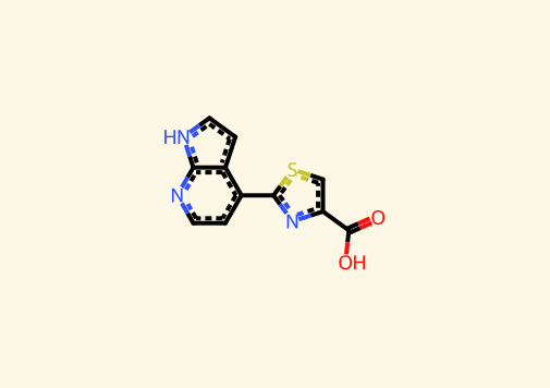 O=C(O)c1csc(-c2ccnc3[nH]ccc23)n1